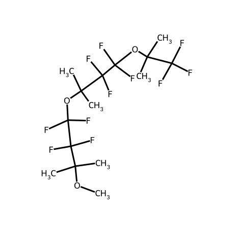 COC(C)(C)C(F)(F)C(F)(F)OC(C)(C)C(F)(F)C(F)(F)OC(C)(C)C(F)(F)F